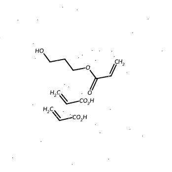 C=CC(=O)O.C=CC(=O)O.C=CC(=O)OCCCO